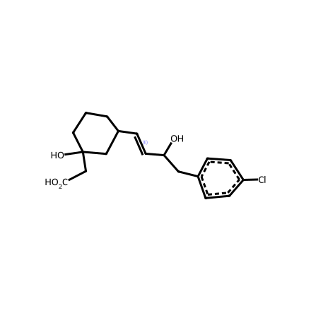 O=C(O)CC1(O)CCCC(/C=C/C(O)Cc2ccc(Cl)cc2)C1